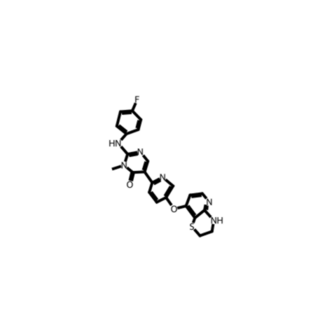 Cn1c(Nc2ccc(F)cc2)ncc(-c2ccc(Oc3ccnc4c3SCCN4)cn2)c1=O